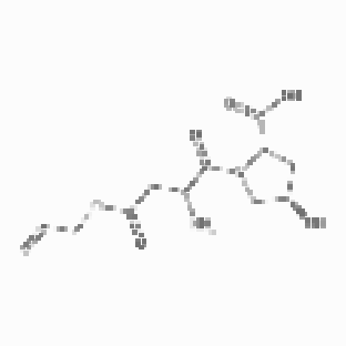 C=CCOC(=O)CC(N)C(=O)N1C[C@H](O)C[C@H]1C(=O)O